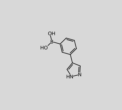 OB(O)c1cccc(-c2cn[nH]c2)c1